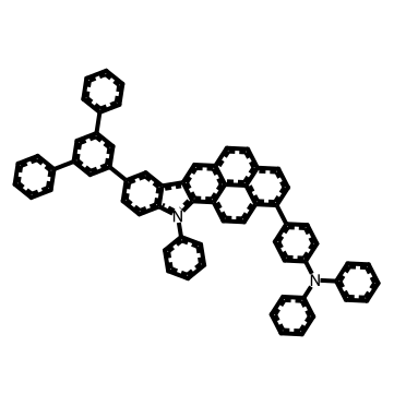 c1ccc(-c2cc(-c3ccccc3)cc(-c3ccc4c(c3)c3cc5ccc6ccc(-c7ccc(N(c8ccccc8)c8ccccc8)cc7)c7ccc(c5c67)c3n4-c3ccccc3)c2)cc1